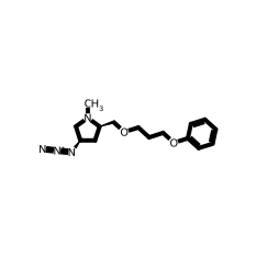 CN1C[C@H](N=[N+]=[N-])C[C@@H]1COCCCOc1ccccc1